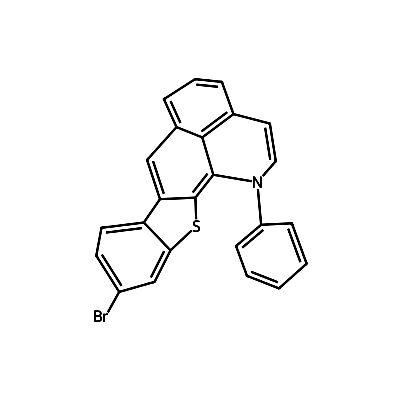 Brc1ccc2c(c1)sc1c3c4c(cccc4cc12)C=CN3c1ccccc1